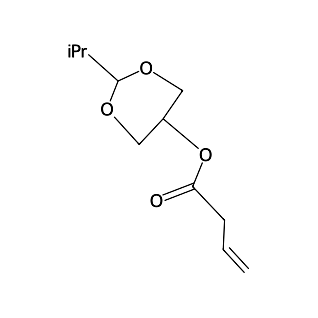 C=CCC(=O)OC1COC(C(C)C)OC1